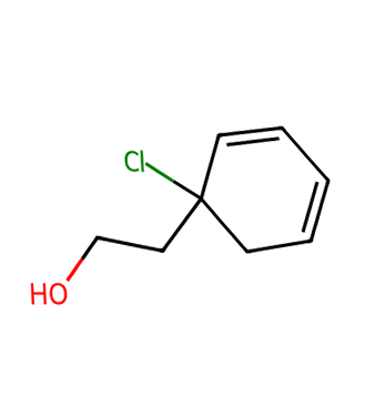 OCCC1(Cl)C=CC=CC1